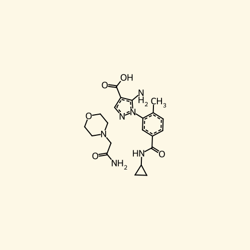 Cc1ccc(C(=O)NC2CC2)cc1-n1ncc(C(=O)O)c1N.NC(=O)CN1CCOCC1